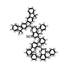 CC1(C)c2ccccc2-c2cc3c4cc5c(cc4n(-c4nc6c7c(c(-c8cccc9c8c8ccc%10c%11ccccc%11oc%10c8n9-c8nc9c%10c(ccc(-c%11ccccc%11)c%10n8)Sc8ccccc8-9)cc(C#N)c7n4)Sc4ccccc4-6)c3cc21)C(C)(C)c1ccccc1-5